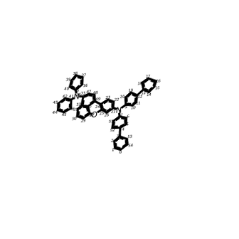 c1ccc(-c2ccc(N(c3ccc(-c4ccccc4)cc3)c3ccc4c(c3)Oc3cccc5c(N(c6ccccc6)c6ccccc6)ccc-4c35)cc2)cc1